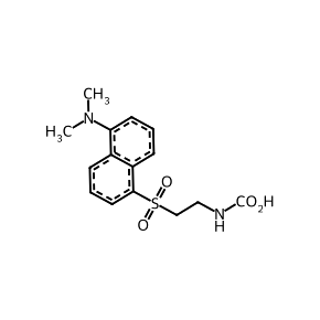 CN(C)c1cccc2c(S(=O)(=O)CCNC(=O)O)cccc12